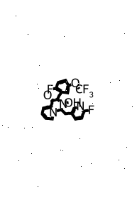 O=C1C2=CC=CCN2C(Cc2ccc(F)nc2)N(O)C1c1cc(OC(F)(F)F)ccc1F